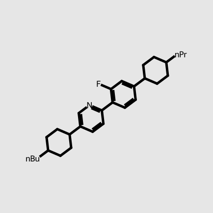 CCCCC1CCC(c2ccc(-c3ccc(C4CCC(CCC)CC4)cc3F)nc2)CC1